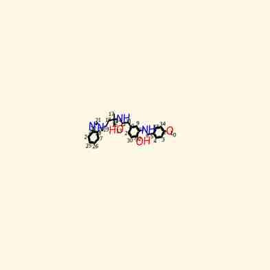 COc1ccc(CNc2cc(CC(O)NC(C)(C)CCn3cnc4ccccc43)ccc2O)cc1